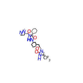 Cn1nccc1C(=O)N[C@H](C(=O)Nc1ccc2oc(CN3C[C@@H](C(F)(F)F)NC3=O)cc2c1)C1CCCCC1